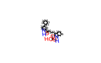 O=C(O)Oc1[nH]c2ccccc2c1CCCC(=O)C1CC(c2ccccc2)=CCN1